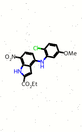 CCOC(=O)c1cc2c(Nc3cc(OC)ccc3Cl)ccc([N+](=O)[O-])c2[nH]1